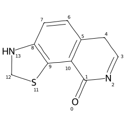 O=C1N=CCc2ccc3c(c21)SCN3